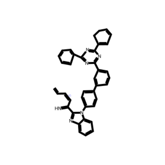 C=C/C=C\C(=N)c1nc2ccccc2n1-c1ccc(-c2cccc(-c3nc(C4=CC=CCC4)nc(-c4ccccc4)n3)c2)cc1